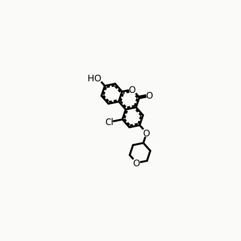 O=c1oc2cc(O)ccc2c2c(Cl)cc(OC3CCOCC3)cc12